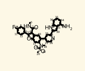 CNC(=O)c1c(-c2ccc(F)cc2)oc2cc(N(C)S(C)(=O)=O)c(-c3ccnc(-c4cc5c(N)cccc5[nH]4)c3)cc12